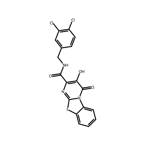 O=C(NCc1ccc(Cl)c(Cl)c1)c1nc2sc3ccccc3n2c(=O)c1O